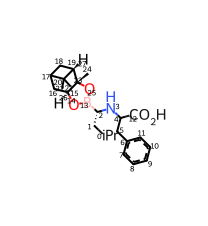 CC(C)C[C@@H](NC(Cc1ccccc1)C(=O)O)B1O[C@H]2CC3C[C@@H](C3(C)C)[C@]2(C)O1